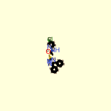 O=C(CSc1nnc(-c2ccccc2)c(-c2ccccc2)n1)Nc1ccc(Cl)cn1